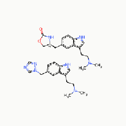 CN(C)CCc1c[nH]c2ccc(C[C@H]3COC(=O)N3)cc12.CN(C)CCc1c[nH]c2ccc(Cn3cncn3)cc12